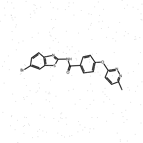 Cc1ccc(Oc2ccc(C(=O)Nc3nc4ccc(Br)cc4s3)cc2)nn1